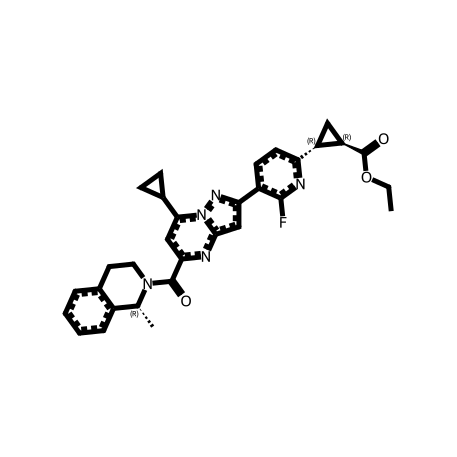 CCOC(=O)[C@@H]1C[C@H]1c1ccc(-c2cc3nc(C(=O)N4CCc5ccccc5[C@H]4C)cc(C4CC4)n3n2)c(F)n1